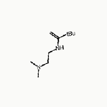 C=C(NCCN(C)C)C(C)(C)C